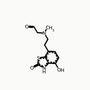 CN(CC=O)CCc1ccc(O)c2[nH]c(=O)sc12